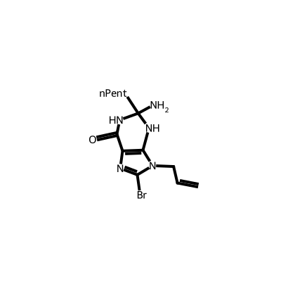 C=CCn1c(Br)nc2c1NC(N)(CCCCC)NC2=O